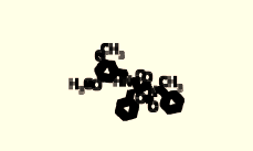 COc1cc(CNC(=O)[C@@]2(Cc3ccccc3)OC(=O)N([C@H](C)c3ccccc3)C2=O)cc(OC)c1